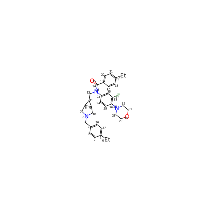 CCc1ccc(CN2CC3C(C2)C3CN(C(=O)c2ccc(CC)cc2)c2ccc(N3CCOCC3)c(F)c2)cc1